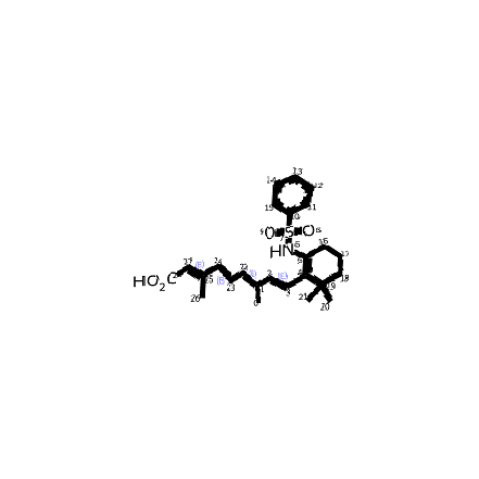 CC(/C=C/C1=C(NS(=O)(=O)c2ccccc2)CCCC1(C)C)=C\C=C\C(C)=C\C(=O)O